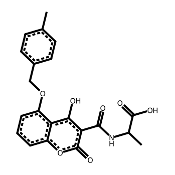 Cc1ccc(COc2cccc3oc(=O)c(C(=O)NC(C)C(=O)O)c(O)c23)cc1